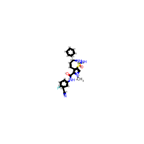 Cn1cc2c(c1C(=O)Nc1ccc(F)c(C#N)c1)C=C[C@H](c1ccccc1)NS2(=N)=O